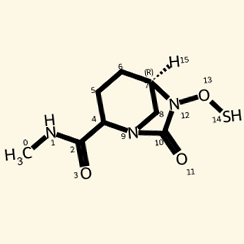 CNC(=O)C1CC[C@@H]2CN1C(=O)N2OS